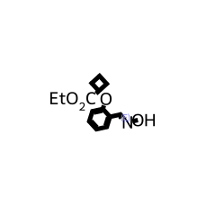 CCOC(=O)C1(Oc2ccccc2/C=N/O)CCC1